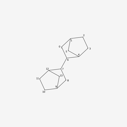 [CH]1C2CCC(C2)C1C1CC2CCC1C2